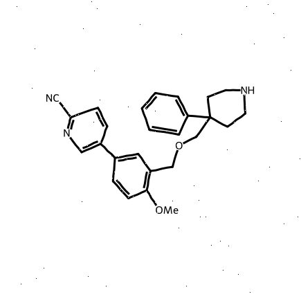 COc1ccc(-c2ccc(C#N)nc2)cc1COCC1(c2ccccc2)CCNCC1